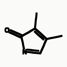 CC1=C(C)C(=O)N=C1